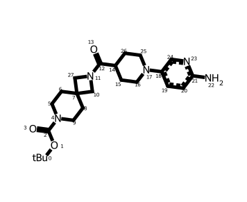 CC(C)(C)OC(=O)N1CCC2(CC1)CN(C(=O)C1CCN(c3ccc(N)nc3)CC1)C2